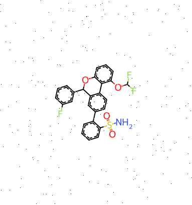 NS(=O)(=O)c1ccccc1-c1ccc2c(c1)C(c1cccc(F)c1)Oc1cccc(OC(F)F)c1-2